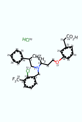 CC(CN(Cc1cccc(C(F)(F)F)c1Cl)C(C)CCOc1cccc(CC(=O)O)c1)c1ccccc1.Cl